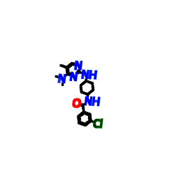 Cc1cnc(NC2CCC(NC(=O)c3cccc(Cl)c3)CC2)nc1N(C)C